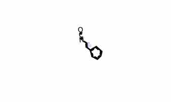 O=C=N/[C]=C/c1ccccc1